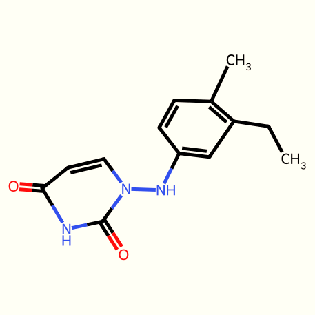 CCc1cc(Nn2ccc(=O)[nH]c2=O)ccc1C